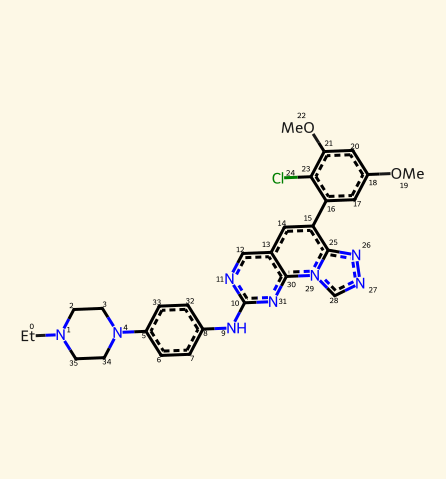 CCN1CCN(c2ccc(Nc3ncc4cc(-c5cc(OC)cc(OC)c5Cl)c5nncn5c4n3)cc2)CC1